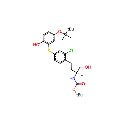 CC(C)(C)OC(=O)N[C@](C)(CO)CCc1ccc(Sc2cc(O[Si](C)(C)C(C)(C)C)ccc2O)cc1Cl